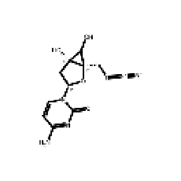 [N-]=[N+]=NC[C@]12O[C@@H](n3ccc(N)nc3=O)C[C@@]1(O)C2O